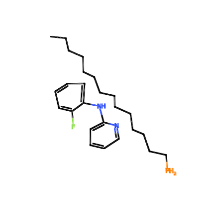 CCCCCCCCCCCCCCP.Fc1ccccc1Nc1ccccn1